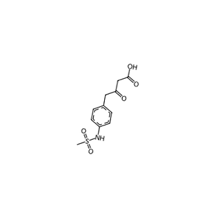 CS(=O)(=O)Nc1ccc(CC(=O)CC(=O)O)cc1